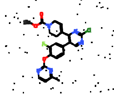 Cc1ccnc(Oc2ccc(-c3cnc(Cl)nc3C3=CCN(C(=O)OC(C)(C)C)CC3)cc2F)n1